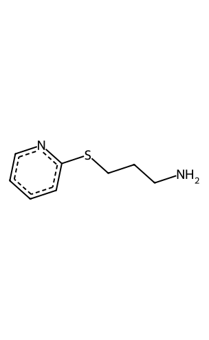 NCCCSc1ccccn1